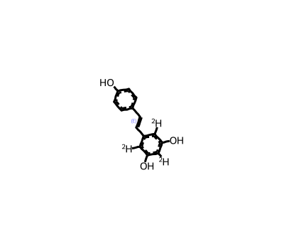 [2H]c1c(O)c([2H])c(/C=C/c2ccc(O)cc2)c([2H])c1O